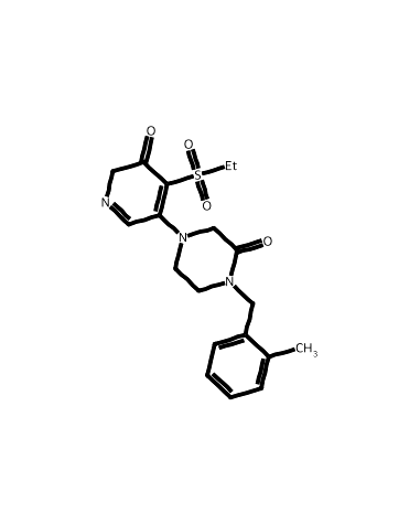 CCS(=O)(=O)C1=C(N2CCN(Cc3ccccc3C)C(=O)C2)C=NCC1=O